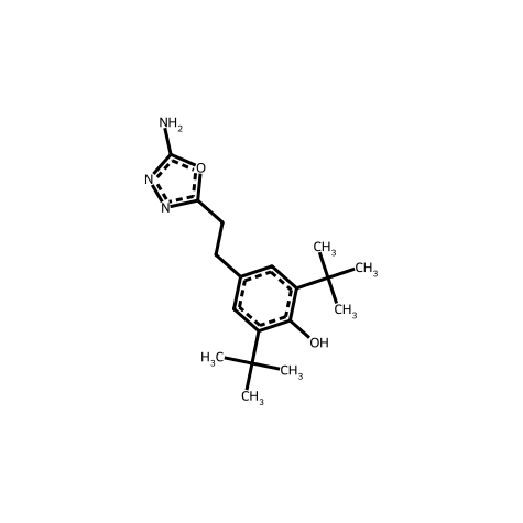 CC(C)(C)c1cc(CCc2nnc(N)o2)cc(C(C)(C)C)c1O